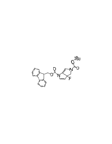 CC(C)(C)OC(=O)N1C=C2N(C(=O)OCC3c4ccccc4-c4ccccc43)C=CC2(F)C1